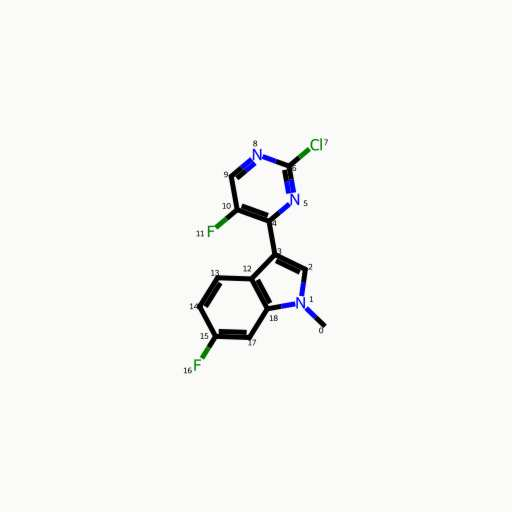 Cn1cc(-c2nc(Cl)ncc2F)c2ccc(F)cc21